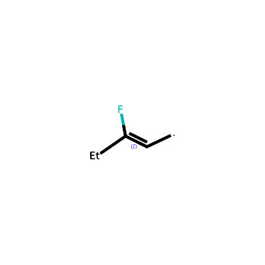 [CH2]/C=C(\F)CC